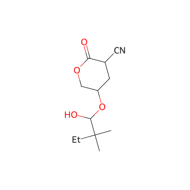 CCC(C)(C)C(O)OC1COC(=O)C(C#N)C1